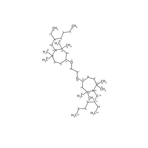 CCCCC(CC)ON1C(C)(C)CCC(OCCOC2CCC(C)(C)N(OC(CC)CCCC)C(C)(C)C2)CC1(C)C